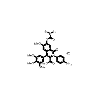 CCN(CC)C(=O)Oc1cc2c(=O)n(-c3ccc(N)cc3)c(C(=O)OC)c(-c3cc(OC)c(OC)c(OC)c3)c2cc1OC.Cl